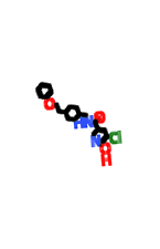 O=C(NCC1CCC(CCOc2ccccc2)CC1)c1cnc(O)c(Cl)c1